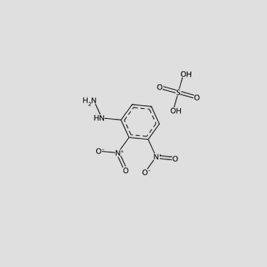 NNc1cccc([N+](=O)[O-])c1[N+](=O)[O-].O=S(=O)(O)O